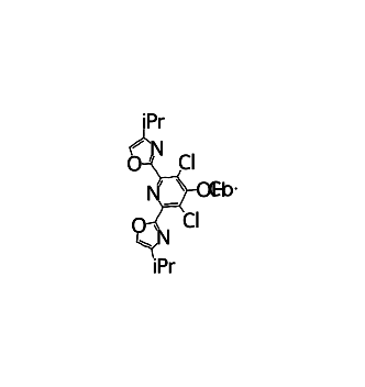 CC(C)c1coc(-c2nc(-c3nc(C(C)C)co3)c(Cl)c(O)c2Cl)n1.[Co]